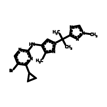 Cc1nn(C(C)(C)c2ncn(C)n2)cc1Nc1ncc(Br)c(C2CC2)n1